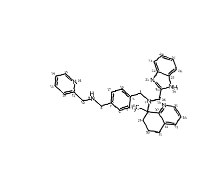 CC1(N(Cc2ccc(CNCc3ccccn3)cc2)Cc2nc3ccccc3[nH]2)CCCc2cccnc21